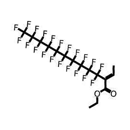 CC=C(C(=O)OCC)C(F)(F)C(F)(F)C(F)(F)C(F)(F)C(F)(F)C(F)(F)C(F)(F)C(F)(F)C(F)(F)C(F)(F)F